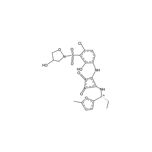 CC[C@@H](Nc1c(Nc2ccc(Cl)c(S(=O)(=O)N3CC(O)CO3)c2O)c(=O)c1=O)c1ccc(C)o1